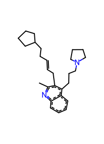 Cc1nc2ccccc2c(CCCN2CCCC2)c1C/C=C/CCC1CCCC1